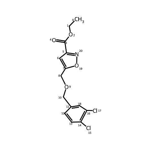 CCOC(=O)c1cc(COCc2ccc(Cl)c(Cl)c2)on1